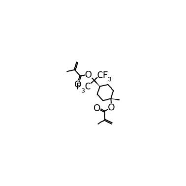 C=C(C)C(=O)OC([C@H]1CC[C@](C)(OC(=O)C(=C)C)CC1)(C(F)(F)F)C(F)(F)F